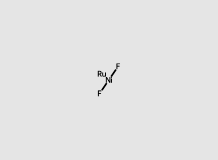 [F][Ni][F].[Ru]